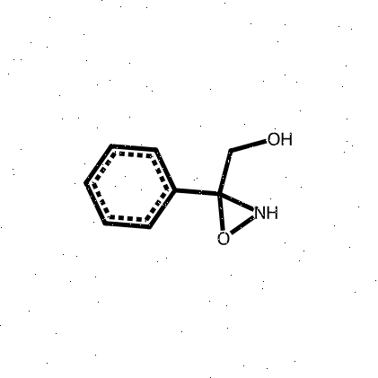 OCC1(c2ccccc2)NO1